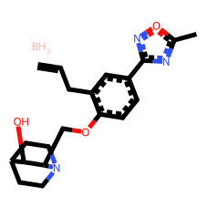 B.C=CCc1cc(-c2noc(C)n2)ccc1OCC1C(O)C2CCN1CC2